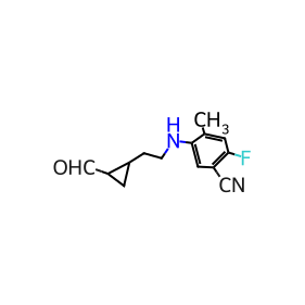 Cc1cc(F)c(C#N)cc1NCCC1CC1C=O